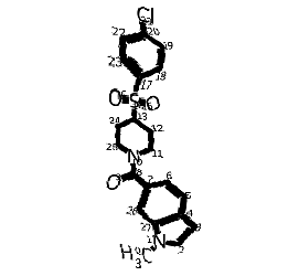 Cn1ccc2ccc(C(=O)N3CCC(S(=O)(=O)c4ccc(Cl)cc4)CC3)cc21